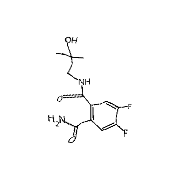 CC(C)(O)CNC(=O)c1cc(F)c(F)cc1C(N)=O